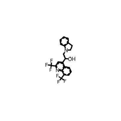 OC(CN1CCc2ccccc21)c1cc(C(F)(F)F)nc2c(C(F)(F)F)cccc12